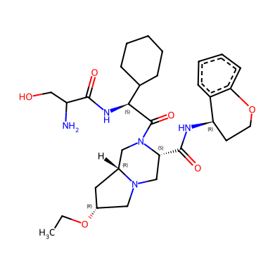 CCO[C@@H]1C[C@@H]2CN(C(=O)[C@@H](NC(=O)C(N)CO)C3CCCCC3)[C@H](C(=O)N[C@@H]3CCOc4ccccc43)CN2C1